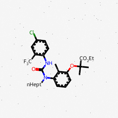 CCCCCCCN(C(=O)Nc1ccc(Cl)cc1C(F)(F)F)c1cccc(OC(C)(C)C(=O)OCC)c1C